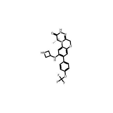 C[C@@H]1C(=O)NN=C2COc3cc(-c4ccc(OC(F)(F)F)cc4)c(NC4CNC4)cc3N21